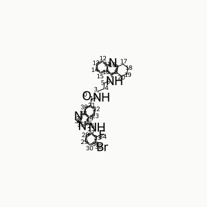 O=C(NCCCNc1c2c(nc3ccccc13)CCCC2)c1ccc2c(Nc3cccc(Br)c3F)ncnc2c1